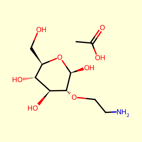 CC(=O)O.NCCO[C@@H]1[C@@H](O)[C@H](O)[C@@H](CO)O[C@H]1O